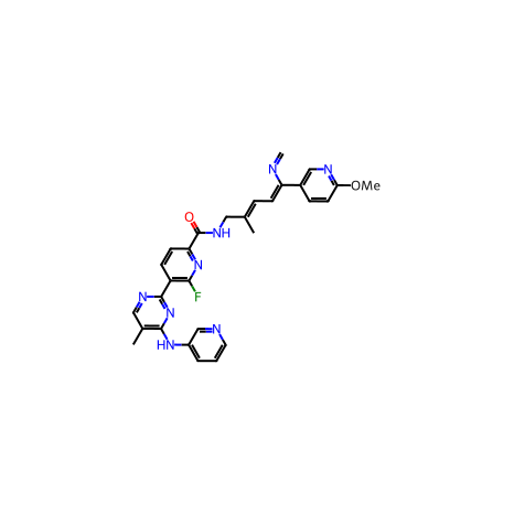 C=N/C(=C\C=C(/C)CNC(=O)c1ccc(-c2ncc(C)c(Nc3cccnc3)n2)c(F)n1)c1ccc(OC)nc1